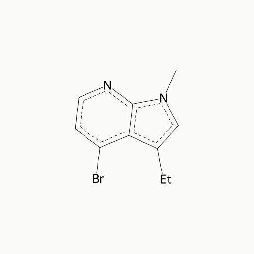 CCc1cn(C)c2nccc(Br)c12